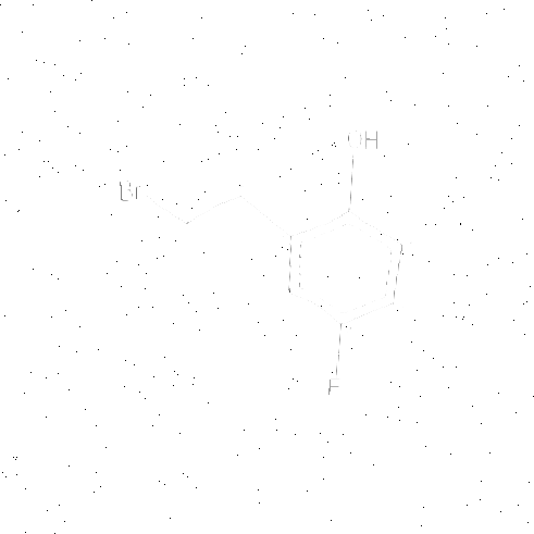 Oc1ccc(F)cc1CCBr